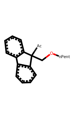 CCCCCOCC1(C(C)=O)c2ccccc2-c2ccccc21